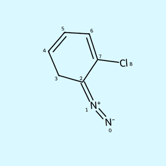 [N-]=[N+]=C1CC=CC=C1Cl